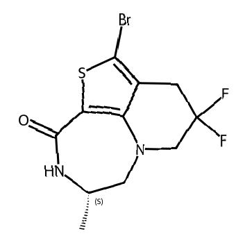 C[C@H]1CN2CC(F)(F)Cc3c(Br)sc(c32)C(=O)N1